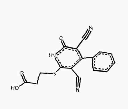 N#Cc1c(SCCC(=O)O)[nH]c(=O)c(C#N)c1-c1ccccc1